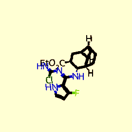 CCOC(=O)[C@H]1CC2[C@@H]3CC[C@@H]([C@@H]1N/C(=N/C(=N)Cl)c1[nH]ccc1F)[C@H]2C3